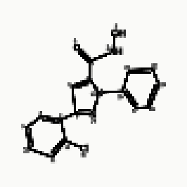 O=C(NO)c1cc(-c2ccccc2Cl)nn1-c1ccccc1